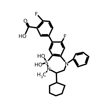 CN1C(C2CCCCC2)CN(c2ccccc2)c2cc(F)c(-c3ccc(F)c(C(=O)O)c3)cc2S1(O)O